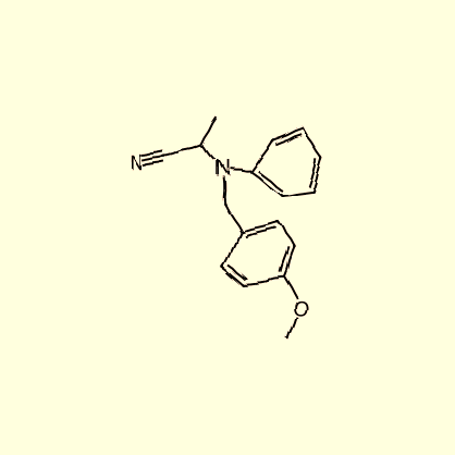 COc1ccc(CN(c2ccccc2)C(C)C#N)cc1